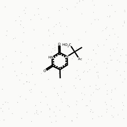 CC(=O)C(C)(C(=O)O)n1cc(C)c(=O)[nH]c1=O